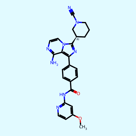 COc1ccnc(NC(=O)c2ccc(-c3nc([C@@H]4CCCN(C#N)C4)n4ccnc(N)c34)cc2)c1